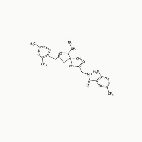 CCNC(=O)[C@](C)(CNCc1ccc(C)cc1C)NC(=O)CNC(=O)c1cc(C(F)(F)F)ccc1N